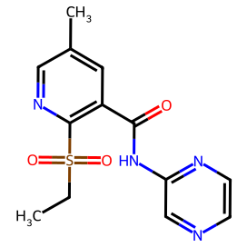 CCS(=O)(=O)c1ncc(C)cc1C(=O)Nc1cnccn1